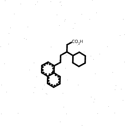 O=C(O)CC(CCc1cccc2ccccc12)C1CCCCC1